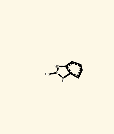 ON1Nc2ccccc2N1